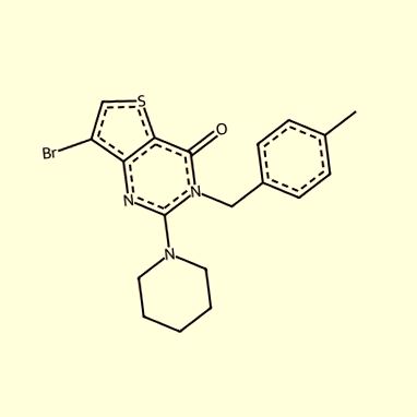 Cc1ccc(Cn2c(N3CCCCC3)nc3c(Br)csc3c2=O)cc1